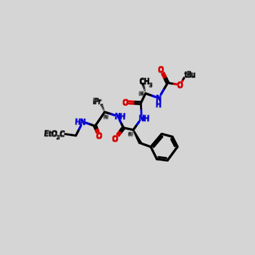 CCOC(=O)CNC(=O)[C@@H](NC(=O)[C@H](Cc1ccccc1)NC(=O)[C@H](C)NC(=O)OC(C)(C)C)C(C)C